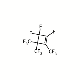 FC1=C(C(F)(F)F)C(C(F)(F)F)(C(F)(F)F)C1(F)F